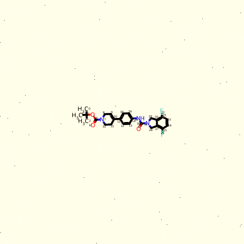 CC(C)(C)OC(=O)N1CC=C(c2ccc(NC(=O)N3Cc4c(F)ccc(F)c4C3)cc2)CC1